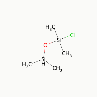 C[SiH](C)O[Si](C)(C)Cl